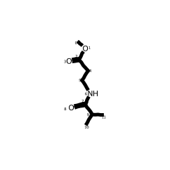 COC(=O)CCNC(=O)C(C)C